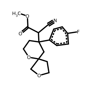 COC(=O)C(C#N)C1(c2ccc(F)cc2)CCOC2(CCOC2)C1